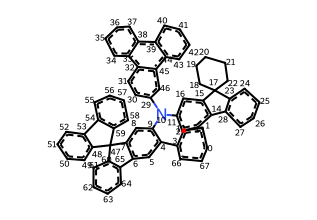 c1ccc(-c2cc3c(cc2N(c2ccc4c(c2)C2(CCCCC2)c2ccccc2-4)c2ccc4c5ccccc5c5ccccc5c4c2)C2(c4ccccc4-c4ccccc42)c2ccccc2-3)cc1